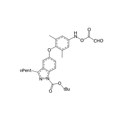 CCCCCc1nn(C(=O)OC(C)(C)C)c2ccc(Oc3c(C)cc(NOC(=O)C=O)cc3C)cc12